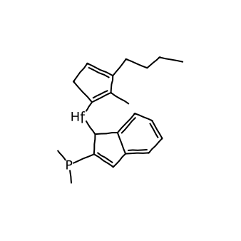 CCCCC1=CC[C]([Hf][CH]2C(P(C)C)=Cc3ccccc32)=C1C